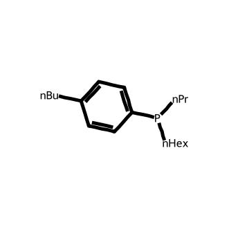 CCCCCCP(CCC)c1ccc(CCCC)cc1